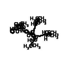 COc1cc(OC)c(C(=O)NC2CCC(NC(=O)c3cc(C(=O)NCCN(C)C)c(OCCCCCNC(=O)OC(C)(C)C)cc3OCCCCCNC(=O)OC(C)(C)C)CC2)cc1C(=O)NC1CCCCC1